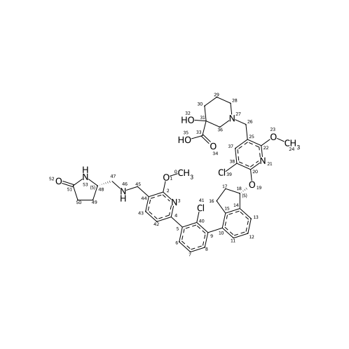 COc1nc(-c2cccc(-c3cccc4c3CC[C@@H]4Oc3nc(OC)c(CN4CCCC(O)(C(=O)O)C4)cc3Cl)c2Cl)ccc1CNC[C@@H]1CCC(=O)N1